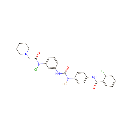 O=C(Nc1ccc(N(S)C(=O)Nc2cccc(N(Cl)C(=O)CN3CCCCC3)c2)cc1)c1ccccc1F